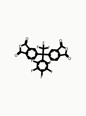 O=C1OC(=O)c2cc(C(c3ccc4c(c3)C(=O)OC4=O)(c3c(F)c(F)c(F)c(F)c3F)C(F)(F)F)ccc21